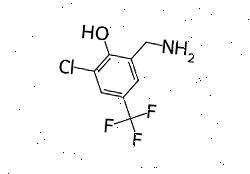 NCc1cc(C(F)(F)F)cc(Cl)c1O